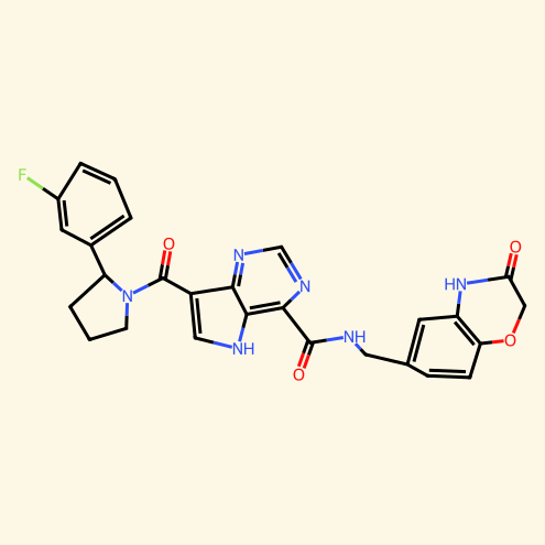 O=C1COc2ccc(CNC(=O)c3ncnc4c(C(=O)N5CCCC5c5cccc(F)c5)c[nH]c34)cc2N1